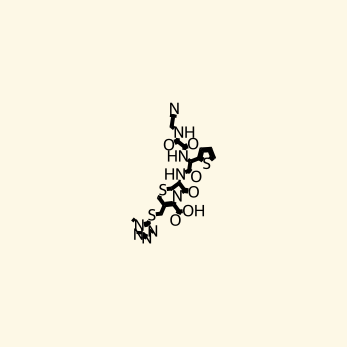 Cn1nnnc1SCC1=C(C(=O)O)N2C(=O)[C@H](NC(=O)C(NC(=O)C(=O)NCC#N)c3cccs3)C2SC1